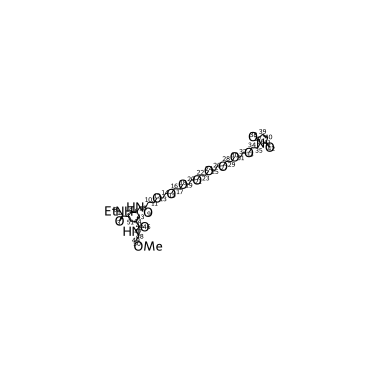 CCNC(=O)c1cc(NC(=O)CCOCCOCCOCCOCCOCCOCCOCCOCCN2C(=O)C=CC2=O)cc(C(=O)NCCOC)c1